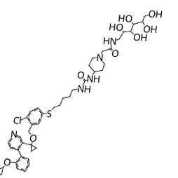 O=C(CN1CCC(NC(=O)NCCCCCSc2ccc(Cl)c(COC3(c4cnccc4-c4ccccc4OC4CC4)CC3)c2)CC1)NCC(O)C(O)C(O)C(O)CO